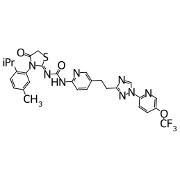 Cc1ccc(C(C)C)c(N2C(=O)CS/C2=N\C(=O)Nc2ccc(CCc3ncn(-c4ccc(OC(F)(F)F)cn4)n3)cn2)c1